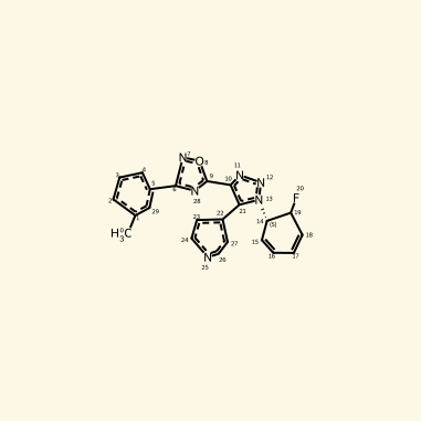 Cc1cccc(-c2noc(-c3nnn([C@H]4C=CC=CC4F)c3-c3ccncc3)n2)c1